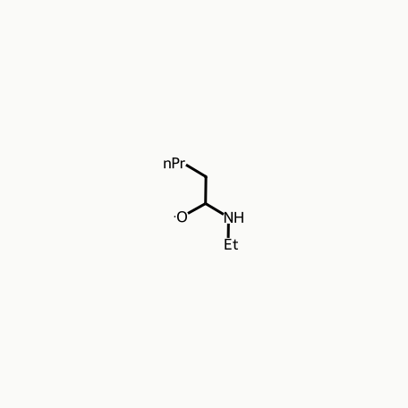 CCCCC([O])NCC